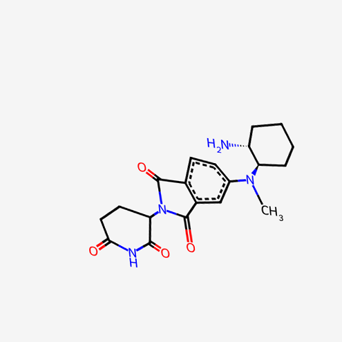 CN(c1ccc2c(c1)C(=O)N(C1CCC(=O)NC1=O)C2=O)[C@@H]1CCCC[C@H]1N